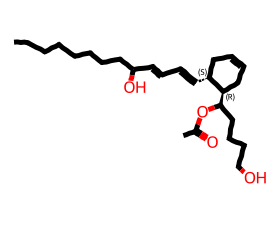 CCCCCCCCC(O)C=CC=C[C@@H]1CC=CC[C@H]1C(CCCCO)OC(C)=O